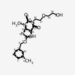 Cc1cccc(COc2nc3c([nH]2)c(=O)n(CCOCCO)c(=O)n3C)c1